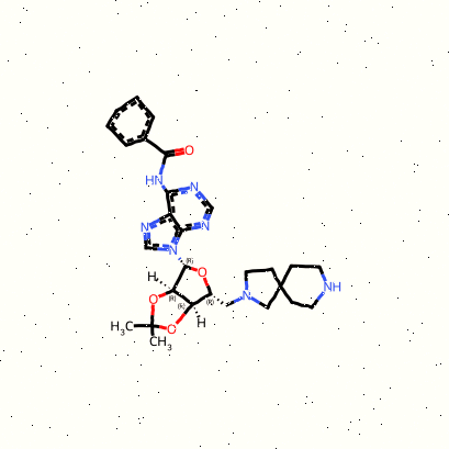 CC1(C)O[C@@H]2[C@H](O1)[C@@H](CN1CCC3(CCNCC3)C1)O[C@H]2n1cnc2c(NC(=O)c3ccccc3)ncnc21